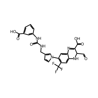 O=CC1Nc2cc(C(F)(F)F)c(-n3ccc(CNC(=O)Nc4cccc(C(=O)O)c4)c3)cc2N=C1C(=O)O